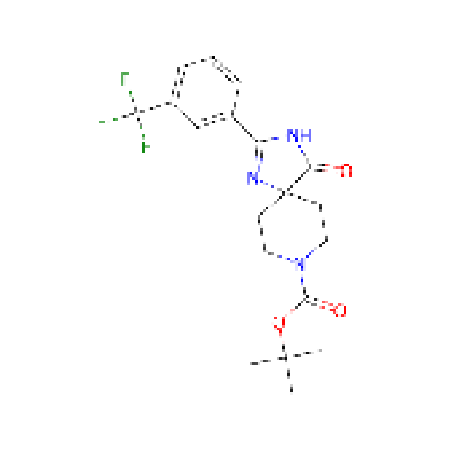 CC(C)(C)OC(=O)N1CCC2(CC1)N=C(c1cccc(C(F)(F)F)c1)NC2=O